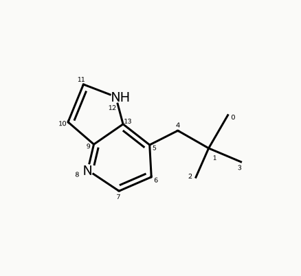 CC(C)(C)Cc1ccnc2cc[nH]c12